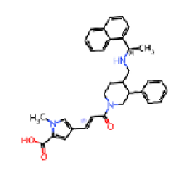 C[C@@H](NCC1CCN(C(=O)/C=C/c2cc(C(=O)O)n(C)c2)CC1c1ccccc1)c1cccc2ccccc12